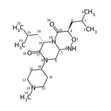 CC(C)C[C@H]1ONC2CN(C3CCN(C)CC3)C(=O)[C@H](CC(C)C)N2C1=O